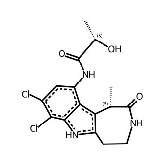 C[C@H](O)C(=O)Nc1cc(Cl)c(Cl)c2[nH]c3c(c12)[C@H](C)C(=O)NCC3